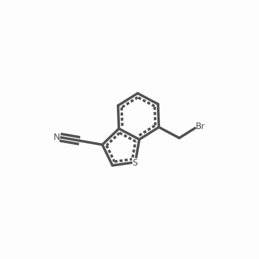 N#Cc1csc2c(CBr)cccc12